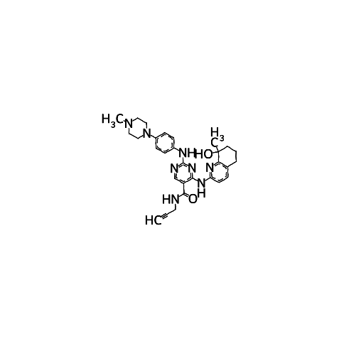 C#CCNC(=O)c1cnc(Nc2ccc(N3CCN(C)CC3)cc2)nc1Nc1ccc2c(n1)C(C)(O)CCC2